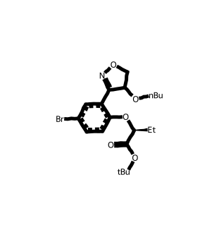 CCCCOC1CON=C1c1cc(Br)ccc1O[C@@H](CC)C(=O)OC(C)(C)C